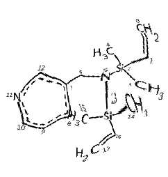 C=C[Si](C)(C)N(Cc1cccnc1)[Si](C)(C)C=C